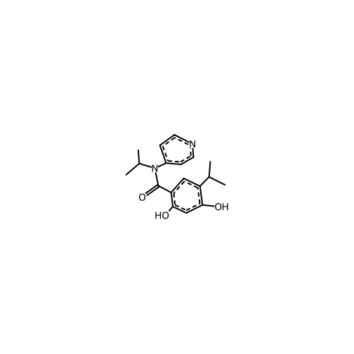 CC(C)c1cc(C(=O)N(c2ccncc2)C(C)C)c(O)cc1O